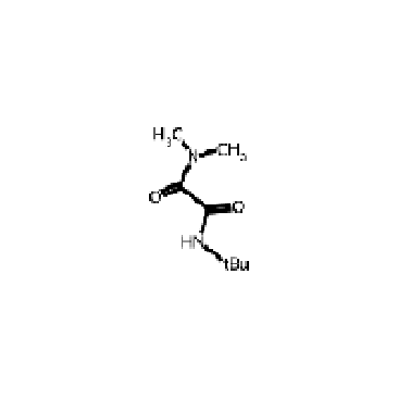 CN(C)C(=O)C(=O)NC(C)(C)C